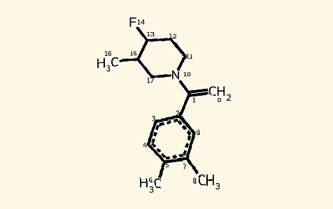 C=C(c1ccc(C)c(C)c1)N1CCC(F)C(C)C1